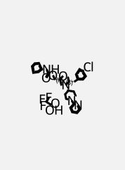 O=C(Nc1ccccc1)OC[C@H]1CN(C2CCN(c3ccccn3)CC2)[C@@H](Cc2ccc(Cl)cc2)CO1.O=C(O)C(F)(F)F